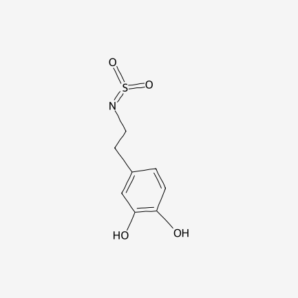 O=S(=O)=NCCc1ccc(O)c(O)c1